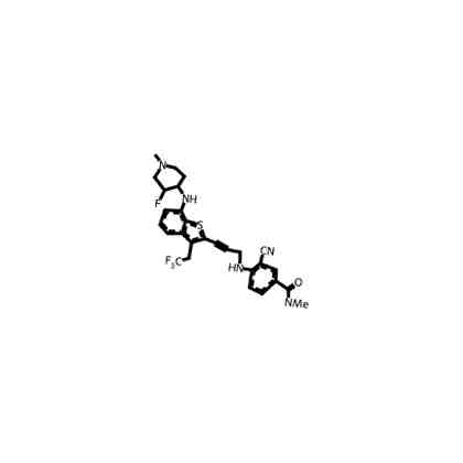 CNC(=O)c1ccc(NCC#Cc2sc3c(NC4CCN(C)CC4F)cccc3c2CC(F)(F)F)c(C#N)c1